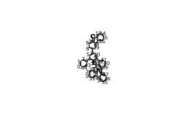 c1ccc(-c2cc(-c3ccc4sc5ccccc5c4c3)cc3c2sc2c(-n4c5ccccc5c5ccccc54)cccc23)cc1